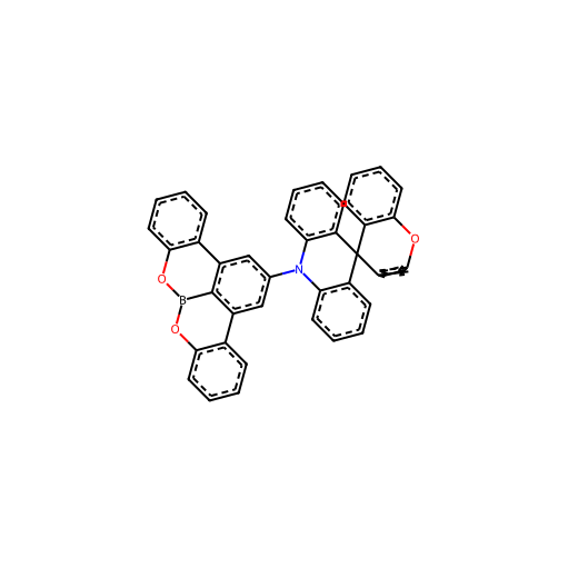 c1ccc2c(c1)OB1Oc3ccccc3-c3cc(N4c5ccccc5C5(c6ccccc6Oc6ccccc65)c5ccccc54)cc-2c31